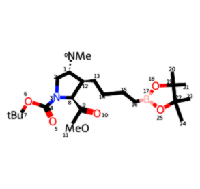 CN[C@H]1CN(C(=O)OC(C)(C)C)[C@H](C(=O)OC)[C@@H]1CCCCB1OC(C)(C)C(C)(C)O1